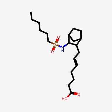 CCCCCCS(=O)(=O)NC1C2CCC(C2)C1C/C=C/CCCC(=O)O